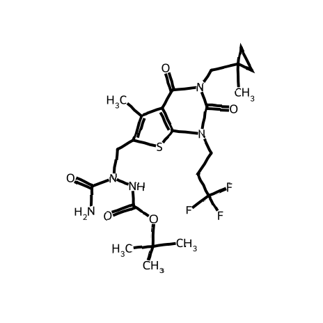 Cc1c(CN(NC(=O)OC(C)(C)C)C(N)=O)sc2c1c(=O)n(CC1(C)CC1)c(=O)n2CCC(F)(F)F